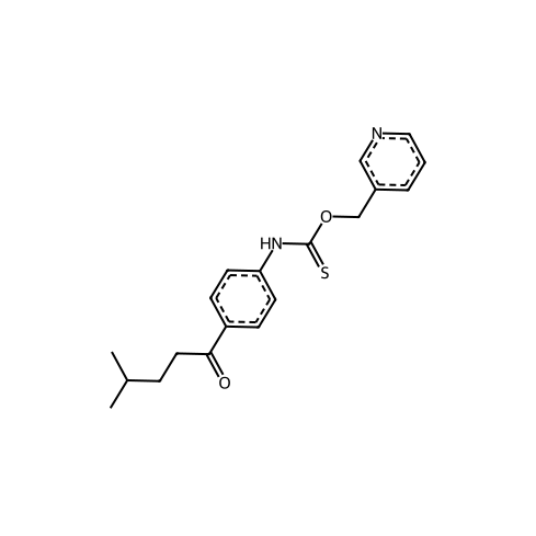 CC(C)CCC(=O)c1ccc(NC(=S)OCc2cccnc2)cc1